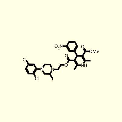 COC(=O)C1=C(C)NC(C)=C(C(=O)OCCN2CCN(c3cc(Cl)ccc3Cl)CC2I)C1c1cccc([N+](=O)[O-])c1